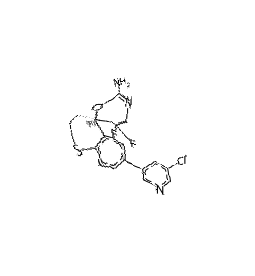 NC1=NCC(F)(F)[C@]2(CCSc3ccc(-c4cncc(Cl)c4)cc32)O1